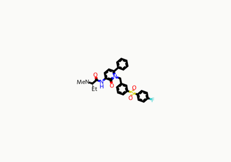 CC[C@H](NC)C(=O)Nc1ccc(-c2ccccc2)n(Cc2cccc(S(=O)(=O)c3ccc(F)cc3)c2)c1=O